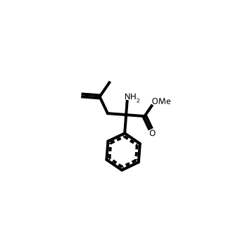 C=C(C)CC(N)(C(=O)OC)c1ccccc1